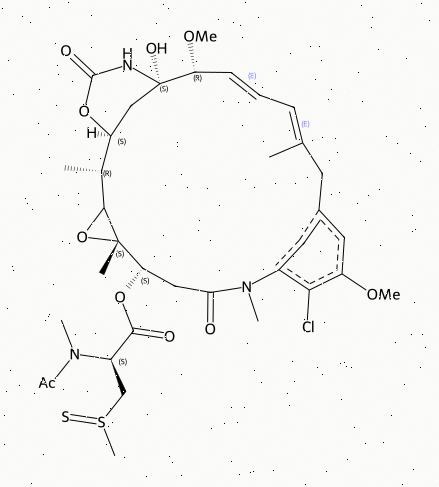 COc1cc2cc(c1Cl)N(C)C(=O)C[C@H](OC(=O)[C@@H](CS(C)=S)N(C)C(C)=O)[C@]1(C)OC1[C@H](C)[C@@H]1C[C@@](O)(NC(=O)O1)[C@H](OC)/C=C/C=C(\C)C2